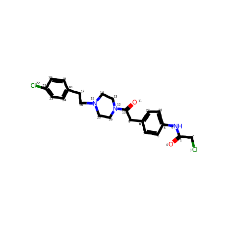 O=C(CCl)Nc1ccc(CC(=O)N2CCN(CCc3ccc(Cl)cc3)CC2)cc1